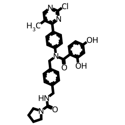 Cc1cnc(Cl)nc1-c1ccc(N(Cc2ccc(CNC(=O)N3CCCC3)cc2)C(=O)c2ccc(O)cc2O)cc1